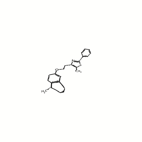 Cc1sc(-c2ccccc2)nc1CCOc1ccc2c(c1)CC[C@H]2C